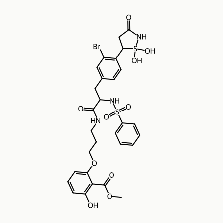 COC(=O)c1c(O)cccc1OCCCNC(=O)C(Cc1ccc(C2CC(=O)NS2(O)O)c(Br)c1)NS(=O)(=O)c1ccccc1